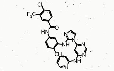 Cc1ccc(NC(=O)c2ccc(Cl)c(C(F)(F)F)c2)cc1Nc1nccn1-c1cc(Nc2ccccn2)ncn1